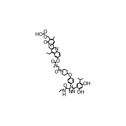 CCNC(=O)c1nnc(-c2cc(C(C)C)c(O)cc2O)n1-c1ccc(OC2CCN(C(=O)CN(C)C(=O)Oc3ccc4nc5c(c(CC)c4c3)Cn3c-5cc(C)c(COC(=O)O)c3=O)CC2)cc1